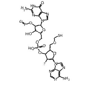 Nc1nc2c(ncn2C2OC(COP(=O)(O)OC3C(COCS)OC(n4cnc5c(N)ncnc54)C3F)C(O)C2OP=O)c(=O)[nH]1